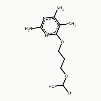 CCC(O)OCCCOc1nc(N)nc(N)c1N